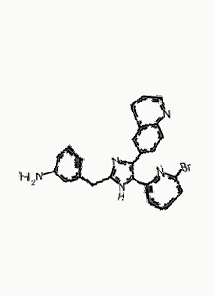 Nc1cccc(Cc2nc(-c3ccc4ncccc4c3)c(-c3cccc(Br)n3)[nH]2)c1